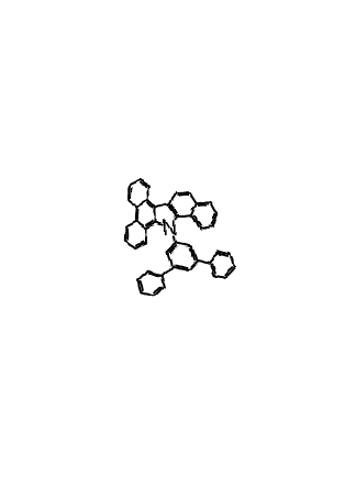 c1ccc(-c2cc(-c3ccccc3)cc(-n3c4c5ccccc5ccc4c4c5ccccc5c5ccccc5c43)c2)cc1